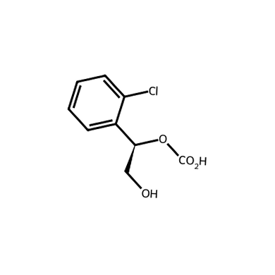 O=C(O)O[C@@H](CO)c1ccccc1Cl